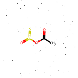 CC(=O)O[SH](=O)=S